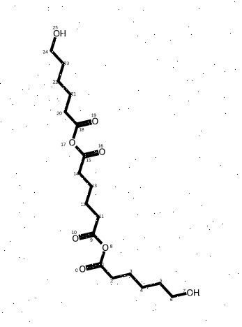 O=C(CCCCCO)OC(=O)CCCCC(=O)OC(=O)CCCCCO